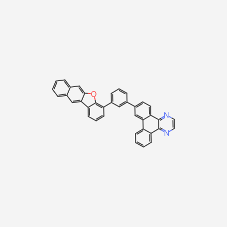 c1cc(-c2ccc3c(c2)c2ccccc2c2nccnc32)cc(-c2cccc3c2oc2cc4ccccc4cc23)c1